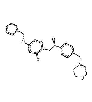 O=C(Cn1ncc(OCc2ccccc2)cc1=O)c1ccc(CN2CCOCC2)cc1